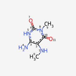 CNc1c(N)[nH]c(=O)n(C)c1=O